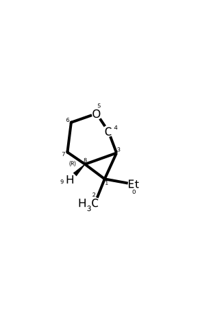 CCC1(C)C2COCC[C@H]21